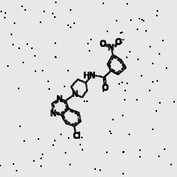 O=C(NC1CCN(c2ncnc3cc(Cl)ccc23)CC1)c1cccc([N+](=O)[O-])c1